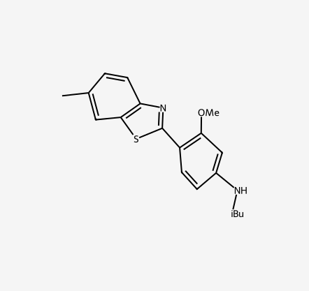 CCC(C)Nc1ccc(-c2nc3ccc(C)cc3s2)c(OC)c1